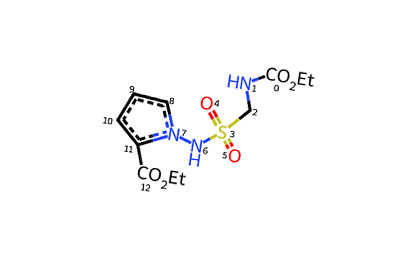 CCOC(=O)NCS(=O)(=O)Nn1cccc1C(=O)OCC